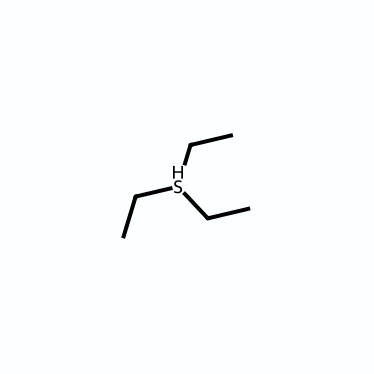 CC[SH](CC)CC